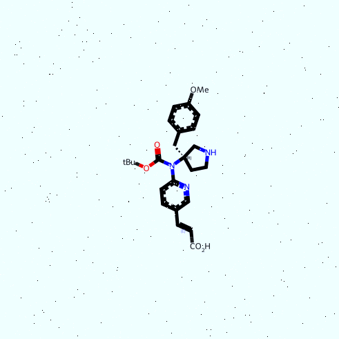 COc1ccc(C[C@@]2(N(C(=O)OC(C)(C)C)c3ccc(/C=C/C(=O)O)cn3)CCNC2)cc1